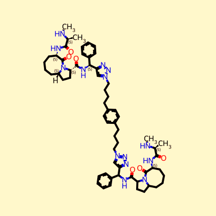 CN[C@@H](C)C(=O)N[C@H]1CCCCC2CCC(C(=O)NC(c3ccccc3)c3cn(CCCCc4ccc(CCCCn5cc([C@@H](NC(=O)[C@@H]6CC[C@@H]7CCCC[C@H](NC(=O)[C@H](C)NC)C(=O)N76)c6ccccc6)nn5)cc4)nn3)N2C1=O